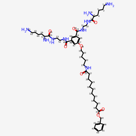 NCCCCC(N)C(=O)NCCNC(=O)c1cc(OCCCCCNC(=O)CCCCCCCCCCC(=O)OCc2ccccc2)cc(C(=O)NCCNC(=O)[C@@H](N)CCCCN)c1